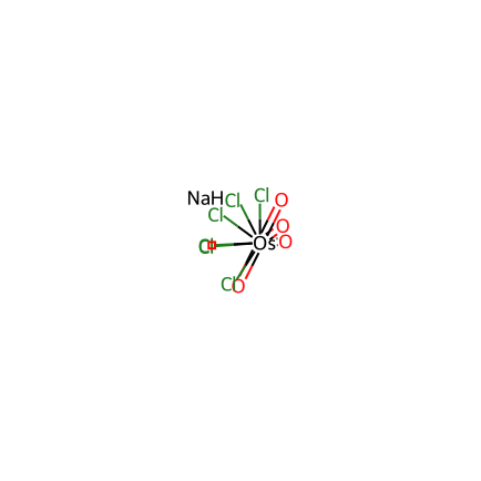 [NaH].[O]=[Os](=[O])(=[O])(=[O])([Cl])([Cl])([Cl])([Cl])([Cl])[Cl]